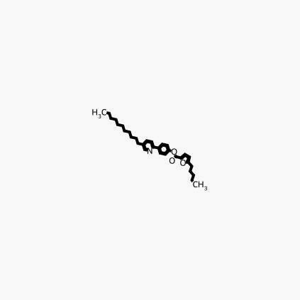 CCCCCCCCCCCc1ccc(-c2ccc(OC(=O)c3ccc(CCCCC)o3)cc2)nc1